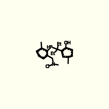 CCC(CC)(Pc1c(C)cccc1CN(C)Cl)c1cc(C)ccc1O